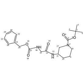 CC(C)(C)OC(=O)N1CCCC(NC(=O)CNC(=O)OCc2ccccc2)C1